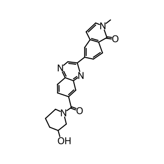 Cn1ccc2cc(-c3cnc4ccc(C(=O)N5CCCC(O)C5)cc4n3)ccc2c1=O